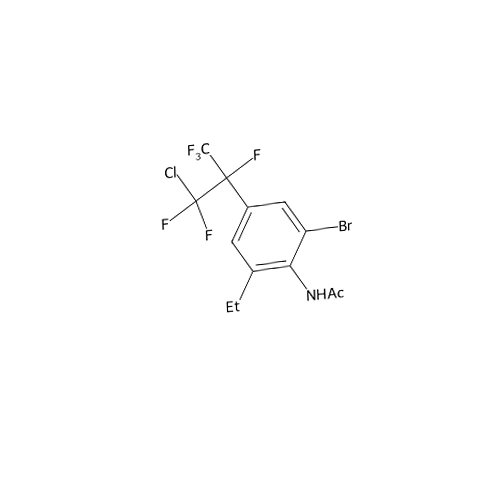 CCc1cc(C(F)(C(F)(F)F)C(F)(F)Cl)cc(Br)c1NC(C)=O